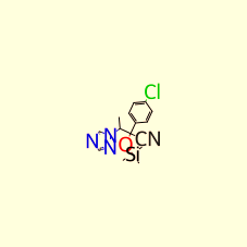 CC(n1cncn1)C(C#N)(O[Si](C)(C)C)c1ccc(Cl)cc1